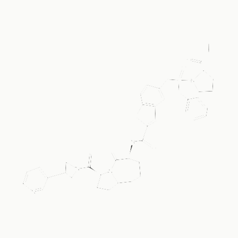 CC(C)OC(=O)[C@@H]1CCCN1P(=O)(Cc1ccc2sc(C(=O)N[C@H]3CCC[C@H]4CC[C@@H](C(=O)N5CC(c6cccnc6)C5)N4C3=O)cc2c1)Oc1ccccc1